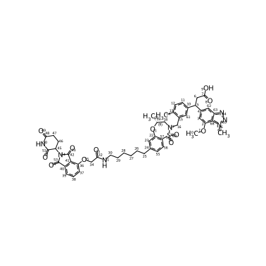 COc1cc(C(CC(=O)O)c2ccc(C)c(CN3C[C@@H](C)Oc4cc(CCCCCCNC(=O)COc5cccc6c5C(=O)N(C5CCC(=O)NC5=O)C6=O)ccc4S3(=O)=O)c2)cc2nnn(C)c12